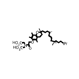 Cc1c(C)c2c(c(C)c1OCC(=O)N(CC(=O)O)CC(=O)O)CC[C@@](C)(CCC[C@H](C)CCC[C@H](C)CCCC(C)C)O2